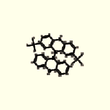 CC(C)(C)c1ccc2c(c1)N(B1c3ccccc3Oc3ccccc31)c1cc(C(C)(C)C)ccc1S2